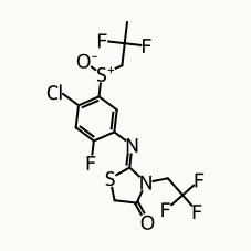 CC(F)(F)C[S+]([O-])c1cc(/N=C2\SCC(=O)N2CC(F)(F)F)c(F)cc1Cl